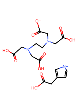 O=C(O)CN(CCN(CC(=O)O)CC(=O)O)CC(=O)O.O=C(O)Cc1cc[nH]c1